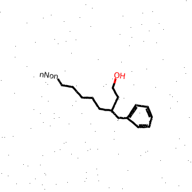 CCCCCCCCCCCCCC[C](CCO)Cc1ccccc1